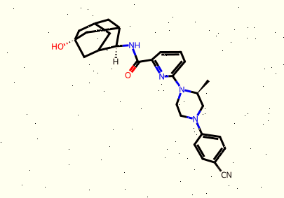 C[C@H]1CN(c2ccc(C#N)cc2)CCN1c1cccc(C(=O)N[C@H]2C3CC4CC2C[C@](O)(C4)C3)n1